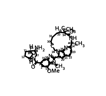 COc1cc(C(=O)N2C[C@H](N)[C@@H]3CC[C@H]2C3)cc2nc(-c3cc4ccc5nc4n3CCCCCCC(C)(C)C(=O)N[C@@H]5C)n(C)c12